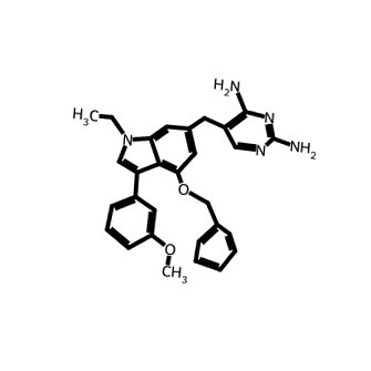 CCn1cc(-c2cccc(OC)c2)c2c(OCc3ccccc3)cc(Cc3cnc(N)nc3N)cc21